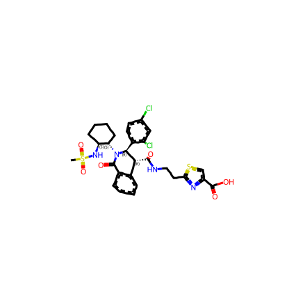 CS(=O)(=O)N[C@H]1CCCC[C@@H]1N1C(=O)c2ccccc2[C@@H](C(=O)NCCc2nc(C(=O)O)cs2)[C@@H]1c1ccc(Cl)cc1Cl